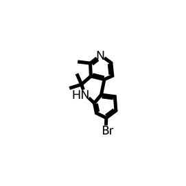 Cc1nccc2c1C(C)(C)Nc1cc(Br)ccc1-2